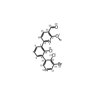 COc1nc(-c2cccc(-c3cncc(Br)c3Cl)c2Cl)ccc1C=O